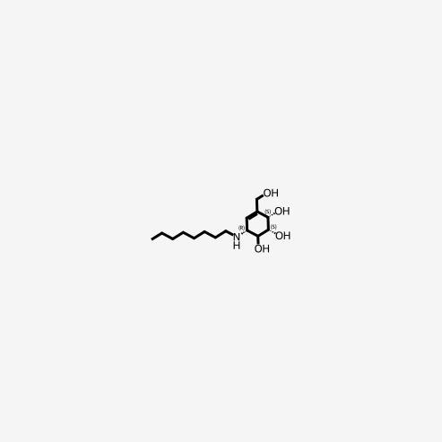 CCCCCCCCN[C@@H]1C=C(CO)[C@H](O)[C@H](O)C1O